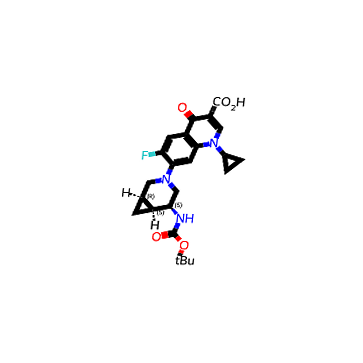 CC(C)(C)OC(=O)N[C@@H]1CN(c2cc3c(cc2F)c(=O)c(C(=O)O)cn3C2CC2)C[C@@H]2C[C@@H]21